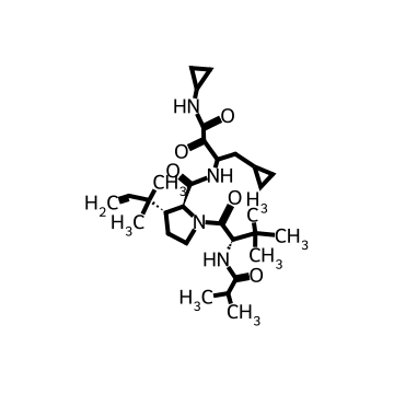 C=CC(C)(C)[C@H]1CCN(C(=O)[C@@H](NC(=O)C(C)C)C(C)(C)C)[C@@H]1C(=O)NC(CC1CC1)C(=O)C(=O)NC1CC1